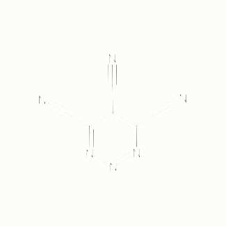 N#Cc1nnnc(C#N)c1C#N